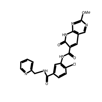 COc1ncc2cc(C(=O)Nc3cc(C(=O)NCc4ccccn4)ccc3Cl)c(=O)[nH]c2n1